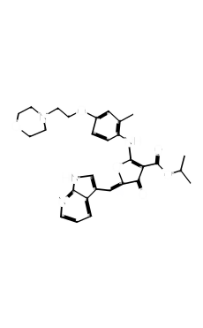 Cc1cc(OCCN2CCOCC2)ccc1NC1=C(C(=O)OC(C)C)C(=O)/C(=C/c2c[nH]c3ncccc23)O1